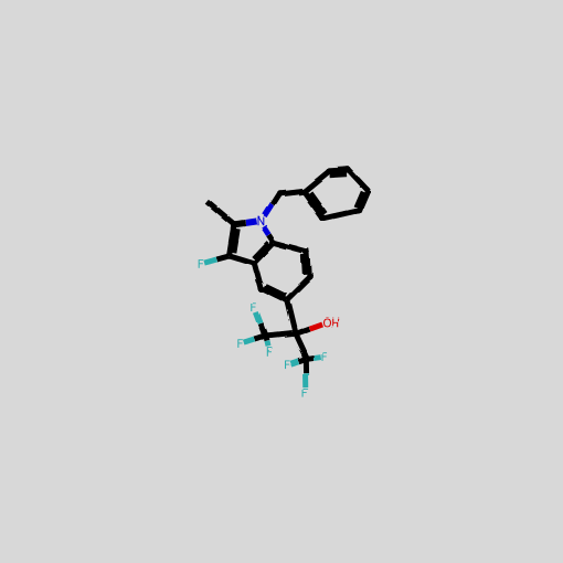 Cc1c(F)c2cc(C(O)(C(F)(F)F)C(F)(F)F)ccc2n1Cc1ccccc1